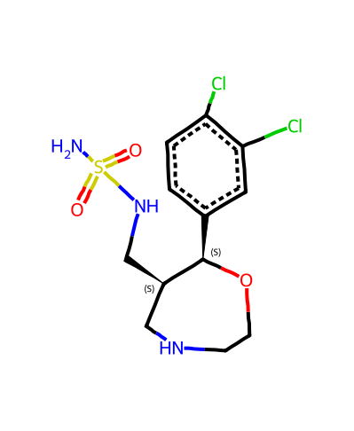 NS(=O)(=O)NC[C@@H]1CNCCO[C@@H]1c1ccc(Cl)c(Cl)c1